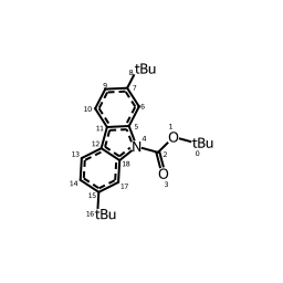 CC(C)(C)OC(=O)n1c2cc(C(C)(C)C)ccc2c2ccc(C(C)(C)C)cc21